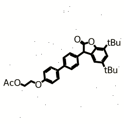 CC(=O)OCCOc1ccc(-c2ccc(C3C(=O)Oc4c3cc(C(C)(C)C)cc4C(C)(C)C)cc2)cc1